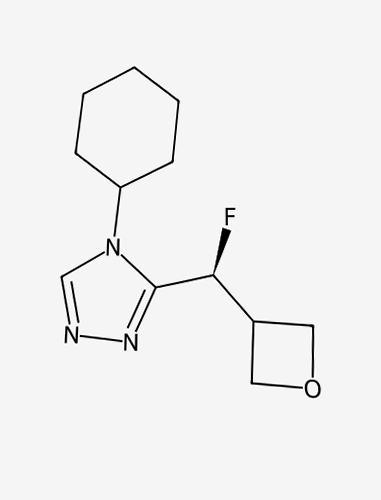 F[C@H](c1nncn1C1CCCCC1)C1COC1